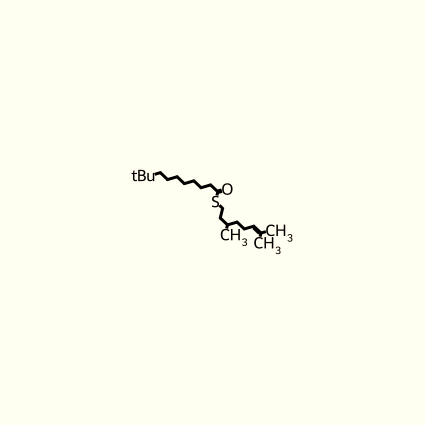 CC(C)=CCCC(C)CCSC(=O)CCCCCCCC(C)(C)C